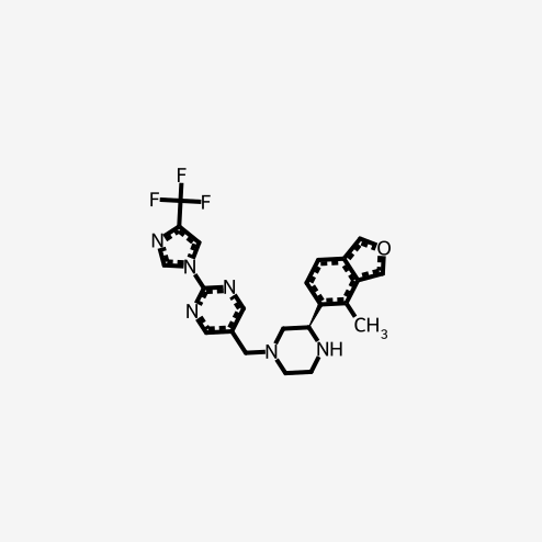 Cc1c([C@@H]2CN(Cc3cnc(-n4cnc(C(F)(F)F)c4)nc3)CCN2)ccc2cocc12